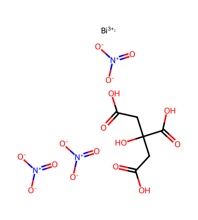 O=C(O)CC(O)(CC(=O)O)C(=O)O.O=[N+]([O-])[O-].O=[N+]([O-])[O-].O=[N+]([O-])[O-].[Bi+3]